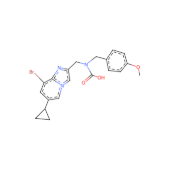 COc1ccc(CN(Cc2cn3cc(C4CC4)cc(Br)c3n2)C(=O)O)cc1